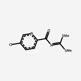 CSC(=NC(=O)c1ccc(Cl)cn1)SC